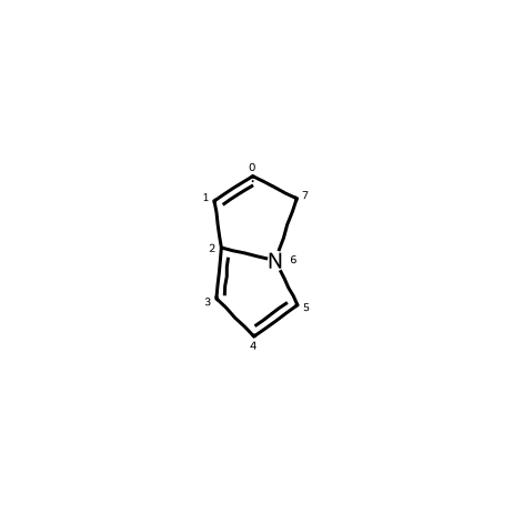 [C]1=Cc2cccn2C1